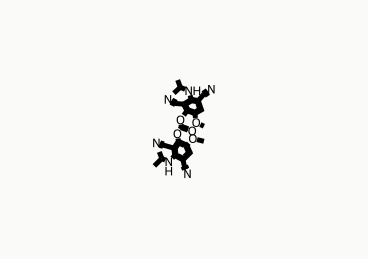 COc1cc(C#N)c(NC(C)C)c(C#N)c1OC(=O)Oc1c(OC)cc(C#N)c(NC(C)C)c1C#N